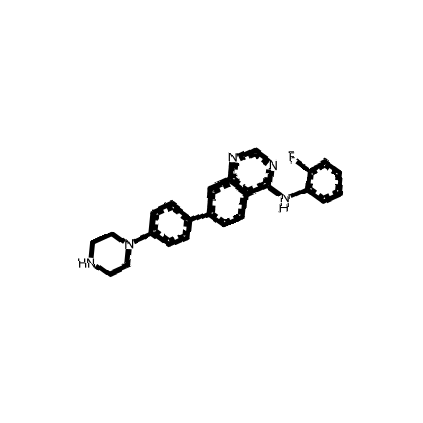 Fc1ccccc1Nc1ncnc2cc(-c3ccc(N4CCNCC4)cc3)ccc12